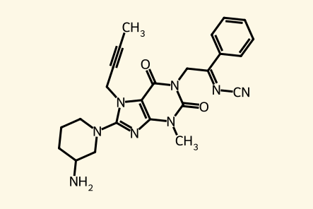 CC#CCn1c(N2CCCC(N)C2)nc2c1c(=O)n(C/C(=N/C#N)c1ccccc1)c(=O)n2C